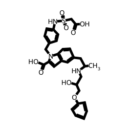 CC(Cc1ccc2c(c1)cc(C(=O)O)n2Cc1ccc(NS(=O)(=O)CC(=O)O)cc1)NCC(O)COc1ccccc1